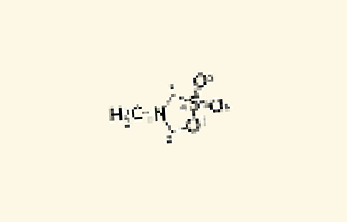 CN1COS(=O)(=O)C1